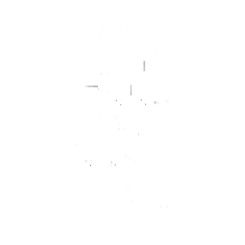 COc1ccc(CN(C(=O)OC(C)(C)C)c2cc(C[C@H]3C(=O)N(C(=O)N[C@H](C)c4ccccc4)[C@@H]3C(=O)OCc3ccccc3)ccn2)cc1